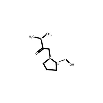 CN(C)C(=O)CN1CCC[C@H]1CO